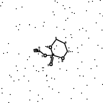 CC(C)(C)OP1(=O)OCCCO1